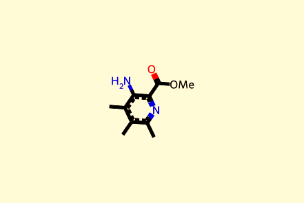 COC(=O)c1nc(C)c(C)c(C)c1N